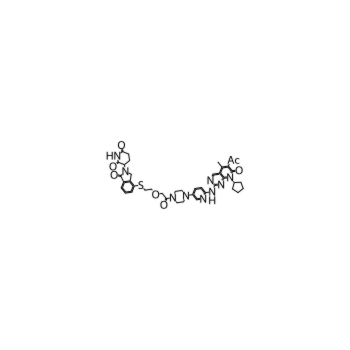 CC(=O)c1c(C)c2cnc(Nc3ccc(N4CCN(C(=O)COCCSc5cccc6c5CN(C5CCC(=O)NC5=O)C6=O)CC4)cn3)nc2n(C2CCCC2)c1=O